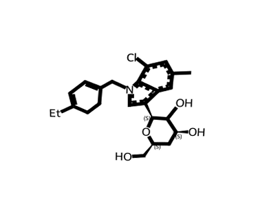 CCC1=CC=C(Cn2cc([C@@H]3O[C@H](CO)C[C@H](O)C3O)c3cc(C)cc(Cl)c32)CC1